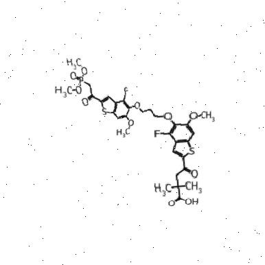 COc1cc2sc(C(=O)CC(C)(C)C(=O)O)cc2c(F)c1OCCCOc1c(OC)cc2sc(C(=O)CP(=O)(OC)OC)cc2c1F